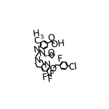 Cc1cc(C(=O)O)cc2c1nc(CN1CCc3cc(C(F)(F)F)c(OCc4ccc(Cl)cc4F)nc3C1)n2C[C@@H]1CCO1